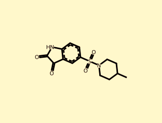 CC1CCN(S(=O)(=O)c2ccc3c(c2)C(=O)C(=O)N3)CC1